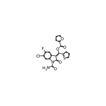 NC(=O)N1C(=O)C(=C(OC(=O)c2ccco2)c2cccs2)c2cc(F)c(Cl)cc21